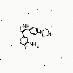 Cc1ccc(-c2cc[nH]c2-c2ccc(N3CCN(C)CC3)cc2)cc1N